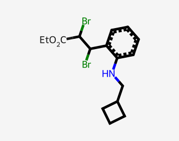 CCOC(=O)C(Br)C(Br)c1ccccc1NCC1CCC1